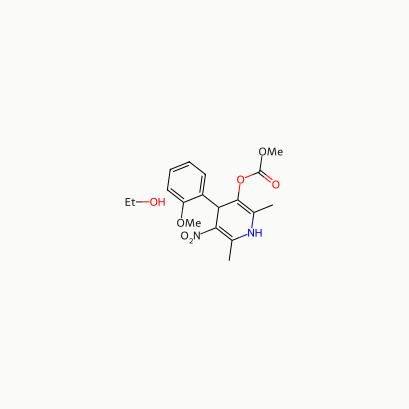 CCO.COC(=O)OC1=C(C)NC(C)=C([N+](=O)[O-])C1c1ccccc1OC